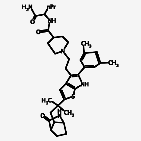 CCCC(NC(=O)C1CCN(CCc2c(-c3cc(C)cc(C)c3)[nH]c3sc(C(C)(C)CC4C5CCC4C(=O)N5)cc23)CC1)C(N)=O